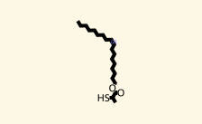 CCCCCCCC/C=C\CCCCCCCCOC(=O)C(C)S